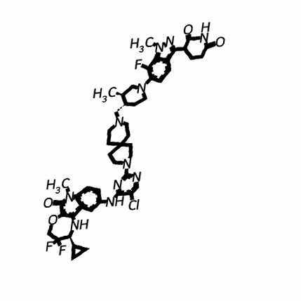 C[C@H]1CN(c2ccc3c(C4CCC(=O)NC4=O)nn(C)c3c2F)CC[C@@H]1CN1CCC2(CC1)CCN(c1ncc(Cl)c(Nc3ccc4c(c3)c3c(c(=O)n4C)OCC(F)(F)[C@H](C4CC4)N3)n1)CC2